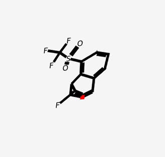 O=S(=O)(c1[c]ccc2c3ccc(c(F)c3)c12)C(F)(F)F